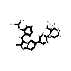 Cc1nc2ccc(-c3cnc(N4CCOCC4CC(=O)O)nc3)cn2c1Cc1ccccc1OC(F)F